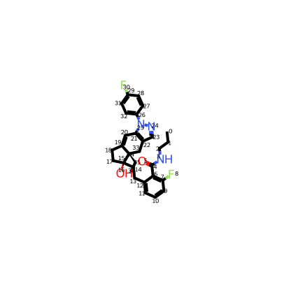 CCCNC(=O)c1c(F)cccc1CC[C@]1(O)CCC2=Cc3c(cnn3-c3ccc(F)cc3)C[C@@]21CC